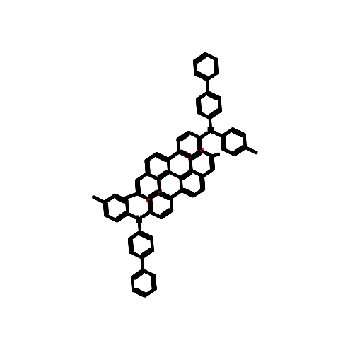 Cc1ccc(N(c2ccc(-c3ccccc3)cc2)c2ccc(-c3ccc4cc(C)ccc4c3-c3c(-c4ccc(N(c5ccc(C)cc5)c5ccc(-c6ccccc6)cc5)cc4)ccc4cc(C)ccc34)cc2)cc1